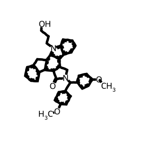 COc1ccc(C(c2ccc(OC)cc2)N2Cc3c(c4c(c5c3c3ccccc3n5CCCO)Cc3ccccc3-4)C2=O)cc1